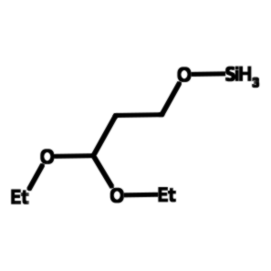 CCOC(CCO[SiH3])OCC